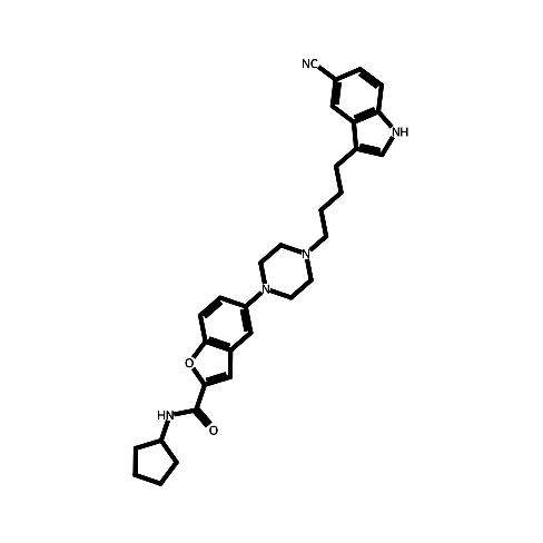 N#Cc1ccc2[nH]cc(CCCCN3CCN(c4ccc5oc(C(=O)NC6CCCC6)cc5c4)CC3)c2c1